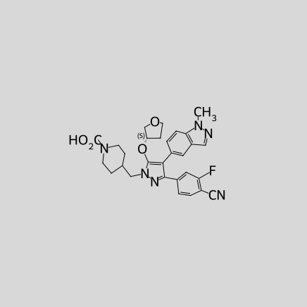 Cn1ncc2cc(-c3c(-c4ccc(C#N)c(F)c4)nn(CC4CCN(C(=O)O)CC4)c3O[C@H]3CCOC3)ccc21